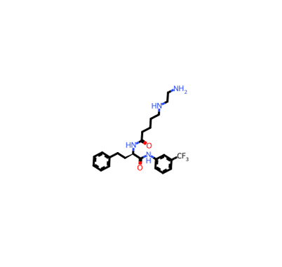 NCCNCCCCC(=O)N[C@H](CCc1ccccc1)C(=O)Nc1cccc(C(F)(F)F)c1